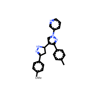 COc1ccc(C2=NNC(c3cn(-c4cccnc4)nc3-c3ccc(C)cc3)C2)cc1